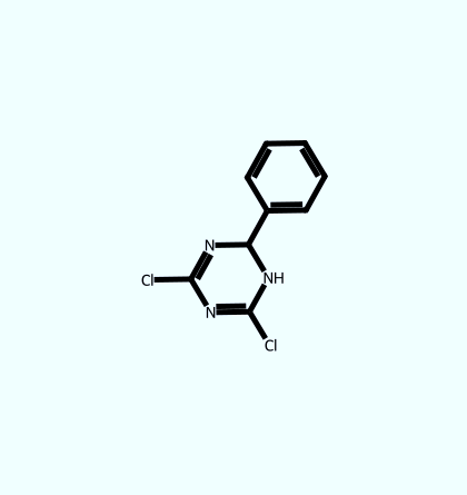 ClC1=NC(c2ccccc2)NC(Cl)=N1